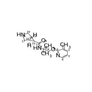 Cc1cccnc1OCC(C)(C)NC(=O)C1[C@H]2CNC[C@@H]12